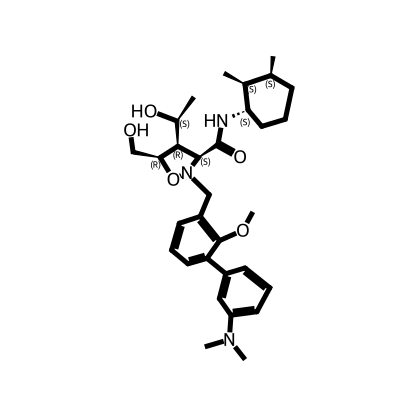 COc1c(CN2O[C@@H](CO)[C@@H]([C@H](C)O)[C@H]2C(=O)N[C@H]2CCC[C@H](C)[C@@H]2C)cccc1-c1cccc(N(C)C)c1